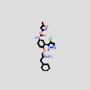 Cc1cc(OC(=O)Nc2ccc(OC[C@@H](N)CC3CCCCC3)c(-c3c(Cl)cnn3C)c2)no1